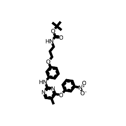 Cc1cnc(Nc2cccc(OCCCNC(=O)OC(C)(C)C)c2)nc1Oc1cccc([N+](=O)[O-])c1